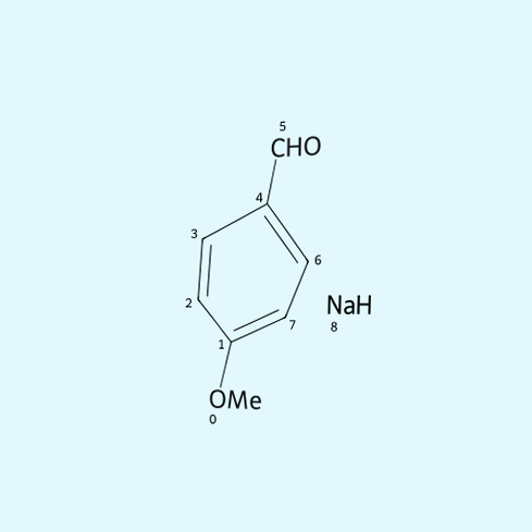 COc1ccc(C=O)cc1.[NaH]